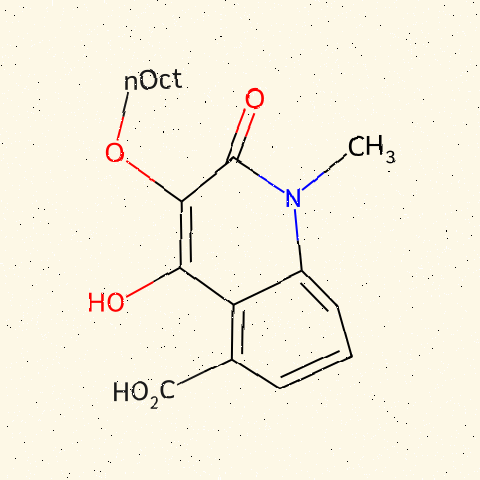 CCCCCCCCOc1c(O)c2c(C(=O)O)cccc2n(C)c1=O